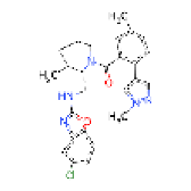 Cc1ccc(-c2cnn(C)c2)c(C(=O)N2CCCC(C)[C@H]2CNc2nc3cc(Cl)ccc3o2)c1